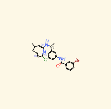 CC1\C=C(N[C@@H](C)c2cccc(NC(=O)c3cccc(Br)c3)c2)/N=C(Cl)\C=C\C1